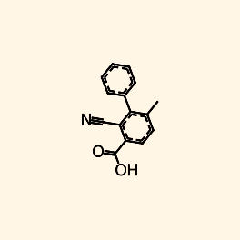 Cc1ccc(C(=O)O)c(C#N)c1-c1ccccc1